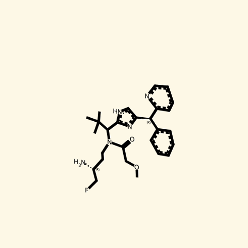 COCC(=O)N(CC[C@@H](N)CF)C(c1nc([C@H](c2ccccc2)c2ccccn2)c[nH]1)C(C)(C)C